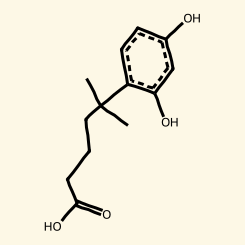 CC(C)(CCCC(=O)O)c1ccc(O)cc1O